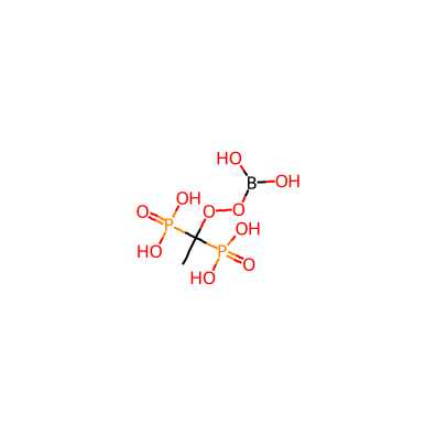 CC(OOB(O)O)(P(=O)(O)O)P(=O)(O)O